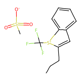 CCCc1cc2ccccc2[s+]1C(F)(F)F.CS(=O)(=O)[O-]